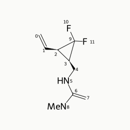 C=C[C@@H]1[C@H](CNC(=C)NC)C1(F)F